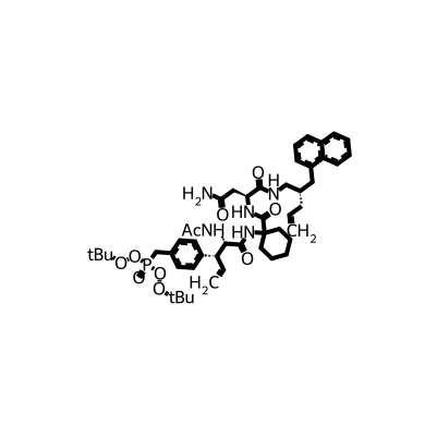 C=CC[C@H](CNC(=O)[C@H](CC(N)=O)NC(=O)C1(NC(=O)[C@@H](NC(C)=O)[C@H](C=C)c2ccc(CP(=O)(OOC(C)(C)C)OOC(C)(C)C)cc2)CCCCC1)Cc1cccc2ccccc12